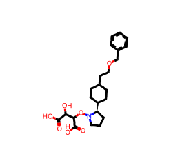 O=C(O)C(O)C(ON1CCC[C@@H]1C1CCC(CCOCc2ccccc2)CC1)C(=O)O